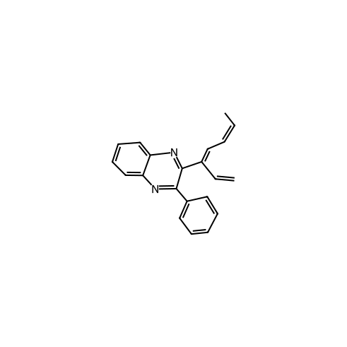 C=C/C(=C\C=C/C)c1nc2ccccc2nc1-c1ccccc1